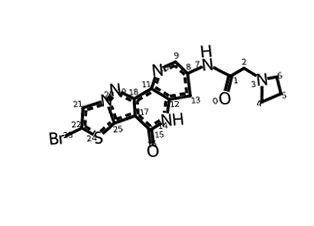 O=C(CN1CCC1)Nc1cnc2c(c1)[nH]c(=O)c1c2nn2cc(Br)sc12